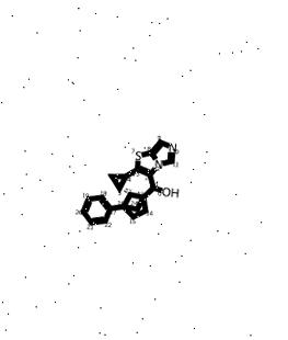 OC(c1c(C2CC2)sc2cncn12)C12CCC(c3ccccc3)(C1)C2